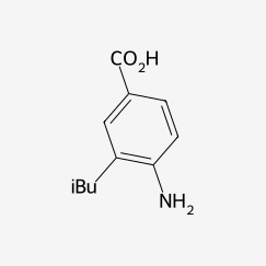 [CH2]CC(C)c1cc(C(=O)O)ccc1N